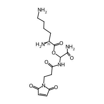 NCCCC[C@H](N)C(=O)OC(NC(=O)CCN1C(=O)C=CC1=O)C(N)=O